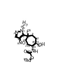 Cn1ncc([N+](=O)[O-])c1C1(F)CC[C@@H](O)[C@H](NC(=O)OC(C)(C)C)CC1